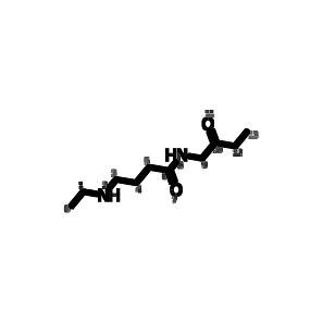 CCNCCCC(=O)NCC(=O)CC